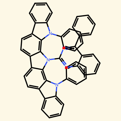 c1ccc(-c2nc(-n3c4c(ccc5c6ccccc6n(-c6ccccc6)c54)c4ccc5c6ccccc6n(-c6ccccc6)c5c43)nc3ccccc23)cc1